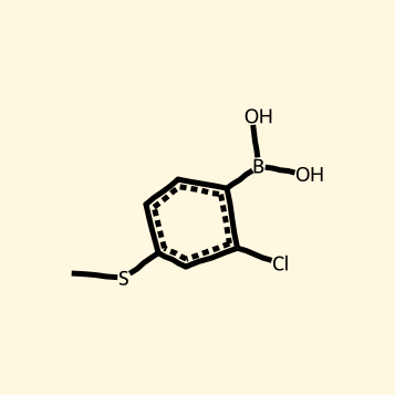 CSc1ccc(B(O)O)c(Cl)c1